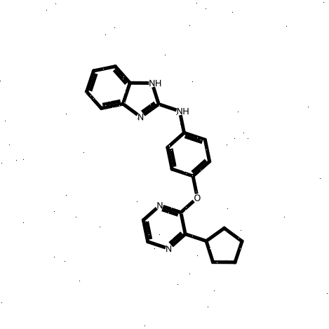 c1ccc2[nH]c(Nc3ccc(Oc4nccnc4C4CCCC4)cc3)nc2c1